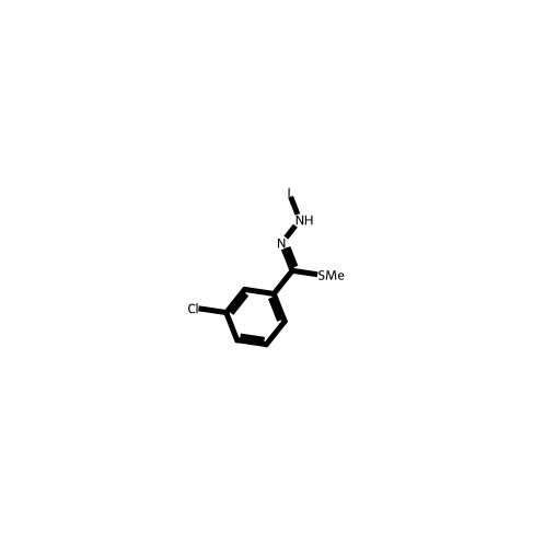 CSC(=NNI)c1cccc(Cl)c1